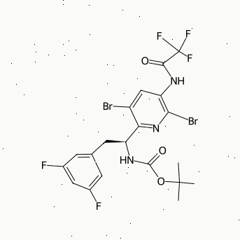 CC(C)(C)OC(=O)N[C@@H](Cc1cc(F)cc(F)c1)c1nc(Br)c(NC(=O)C(F)(F)F)cc1Br